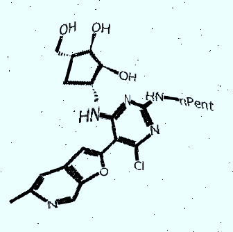 CCCCCNc1nc(Cl)c(-c2cc3cc(C)ncc3o2)c(N[C@@H]2C[C@H](CO)[C@@H](O)[C@H]2O)n1